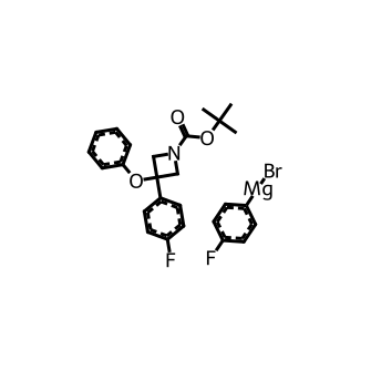 CC(C)(C)OC(=O)N1CC(Oc2ccccc2)(c2ccc(F)cc2)C1.Fc1cc[c]([Mg][Br])cc1